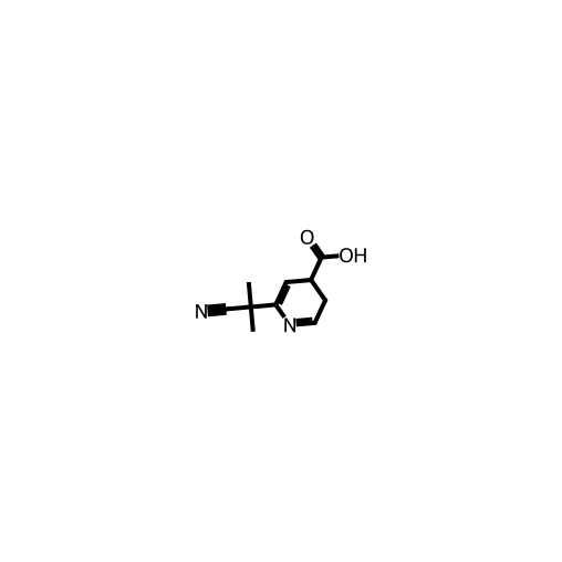 CC(C)(C#N)C1=CC(C(=O)O)CC=N1